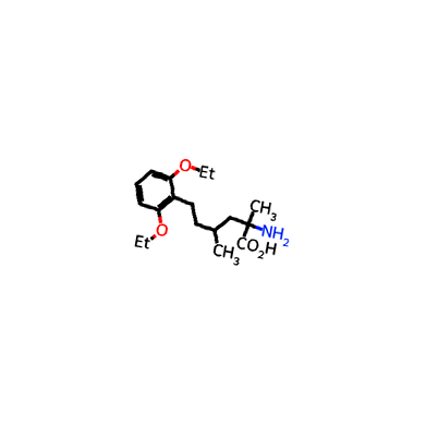 CCOc1cccc(OCC)c1CCC(C)CC(C)(N)C(=O)O